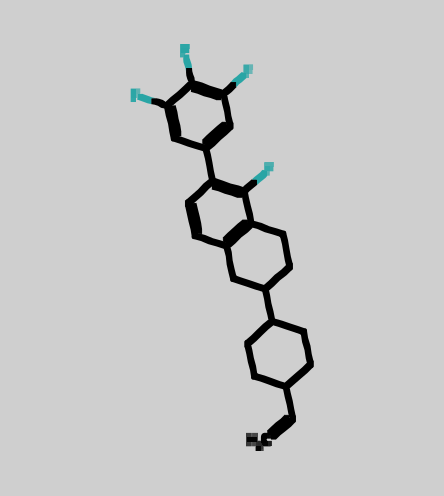 C=CC1CCC(C2CCc3c(ccc(-c4cc(F)c(F)c(F)c4)c3F)C2)CC1